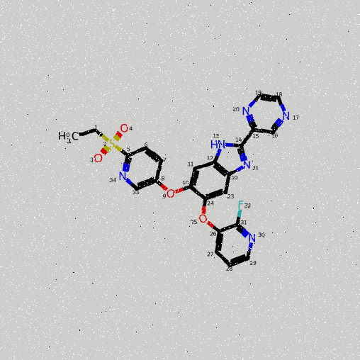 CCS(=O)(=O)c1ccc(Oc2cc3[nH]c(-c4cnccn4)nc3cc2Oc2cccnc2F)cn1